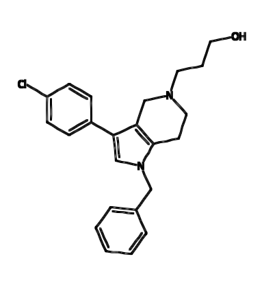 OCCCN1CCc2c(c(-c3ccc(Cl)cc3)cn2Cc2ccccc2)C1